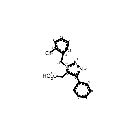 O=C(O)Cc1c(-c2ccccc2)nnn1Cc1ccccc1Cl